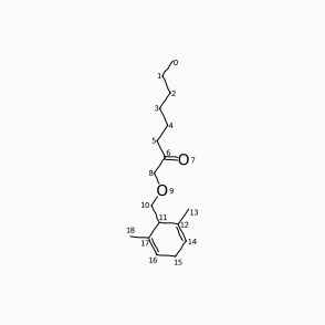 CCCCCCC(=O)COCC1C(C)=CCC=C1C